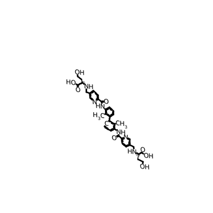 Cc1c(NC(=O)c2ccc(CN[C@H](CCO)C(=O)O)cn2)cccc1-c1cccc(NC(=O)c2ccc(CN[C@H](CCO)C(=O)O)cn2)c1C